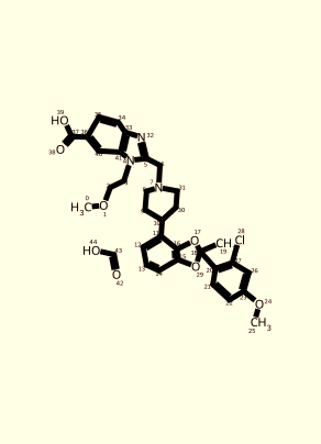 COCCn1c(CN2CCC(c3cccc4c3OC(C)(c3ccc(OC)cc3Cl)O4)CC2)nc2ccc(C(=O)O)cc21.O=CO